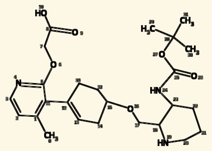 Cc1ccnc(OCC(=O)O)c1C1=CCC(OCC2NCCCC2NC(=O)OC(C)(C)C)CC1